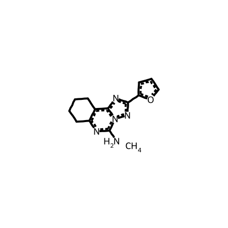 C.Nc1nc2c(c3nc(-c4ccco4)nn13)CCCC2